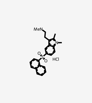 CNCCc1c(C)n(C)c2ccc(S(=O)(=O)c3cccc4ccccc34)cc12.Cl